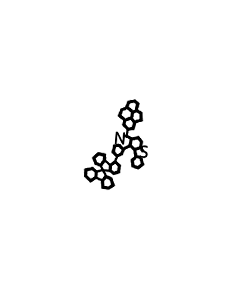 c1ccc2c(c1)-c1ccccc1C21c2ccccc2-c2c(-c3ccc4nc(-c5cc6ccc7cccc8ccc(c5)c6c78)c5ccc6sc7ccccc7c6c5c4c3)cccc21